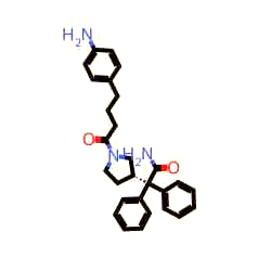 NC(=O)C(c1ccccc1)(c1ccccc1)[C@@H]1CCN(C(=O)CCCc2ccc(N)cc2)C1